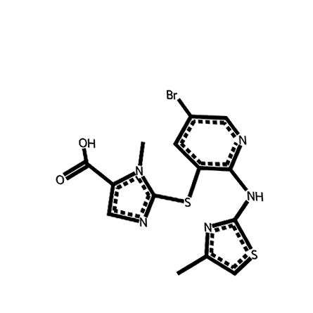 Cc1csc(Nc2ncc(Br)cc2Sc2ncc(C(=O)O)n2C)n1